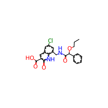 CCCOC(C(=O)NCc1cc(Cl)cc2cc(C(=O)O)c(=O)[nH]c12)c1ccccc1